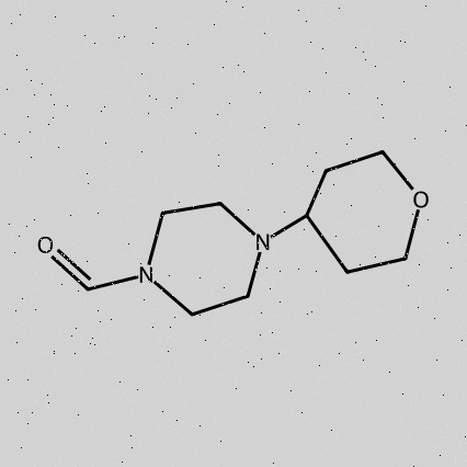 O=CN1CCN(C2CCOCC2)CC1